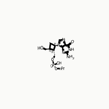 CCCOP(=O)(O)OC[C@@H]1[C@@H](CO)C[C@H]1n1cnc2c(=O)[nH]c(N)nc21